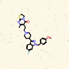 COc1ccc(Cn2nc(C3CCN(CCc4c(C)nc5n(c4=O)CCS5)CC3)c3ccc(F)cc32)cc1